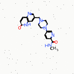 CNC(=O)c1ccc(N2CCN(Cc3cnc4ccc(=O)[nH]c4c3)CC2)cn1